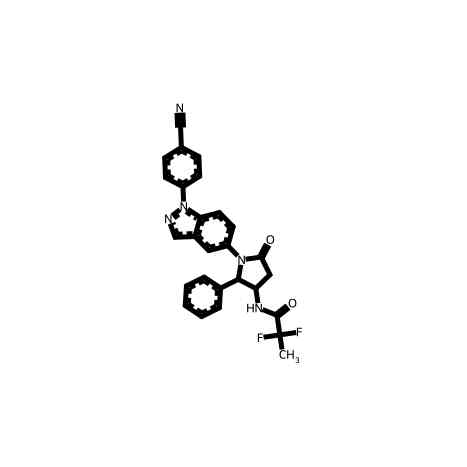 CC(F)(F)C(=O)NC1CC(=O)N(c2ccc3c(cnn3-c3ccc(C#N)cc3)c2)C1c1ccccc1